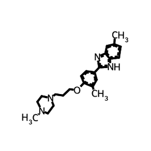 Cc1ccc2[nH]c(-c3ccc(OCCCN4CCN(C)CC4)c(C)c3)nc2c1